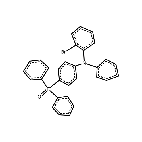 O=P(c1ccccc1)(c1ccccc1)c1ccc(N(c2ccccc2)c2ccccc2Br)cc1